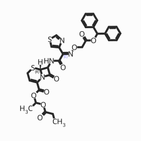 CCC(=O)OC(C)OC(=O)C1=CCS[C@@H]2C(NC(=O)/C(=N/OCC(=O)OC(c3ccccc3)c3ccccc3)c3cscn3)C(=O)N12